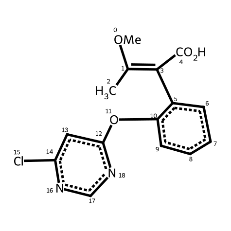 COC(C)=C(C(=O)O)c1ccccc1Oc1cc(Cl)ncn1